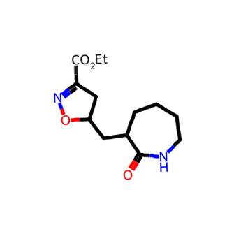 CCOC(=O)C1=NOC(CC2CCCCNC2=O)C1